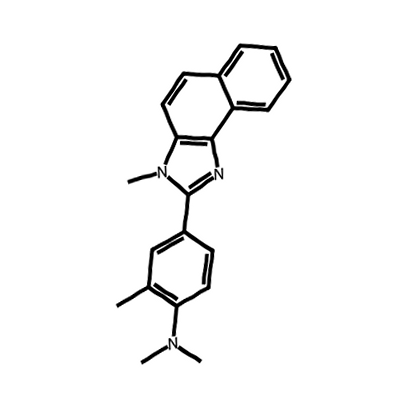 Cc1cc(-c2nc3c4ccccc4ccc3n2C)ccc1N(C)C